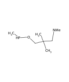 CNCC(C)(C)COPC